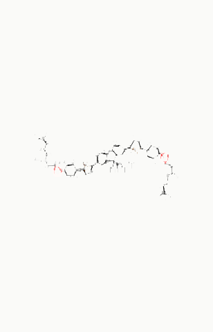 CCCC1(CCC)c2cc(-c3ccc(-c4ccc(OCCC(C)CCC=C(C)C)cc4)s3)ccc2-c2ccc(-c3ccc(-c4ccc(OCC[C@@H](C)CCC=C(C)C)cc4)s3)cc21